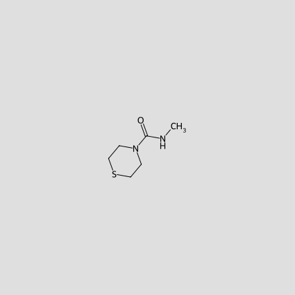 CNC(=O)N1CCSCC1